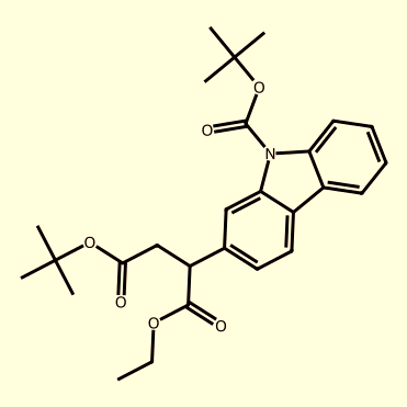 CCOC(=O)C(CC(=O)OC(C)(C)C)c1ccc2c3ccccc3n(C(=O)OC(C)(C)C)c2c1